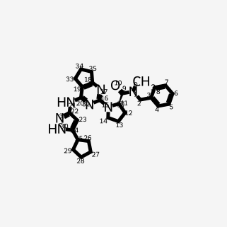 CN(Cc1ccccc1)C(=O)[C@H]1CCCN1c1nc2c(c(Nc3cc(C4CCCC4)[nH]n3)n1)CCC2